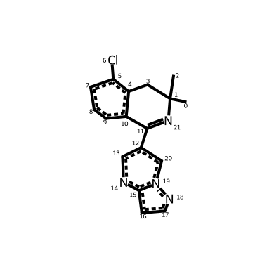 CC1(C)Cc2c(Cl)cccc2C(c2cnc3ccnn3c2)=N1